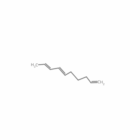 C=CCCC/C=C/C=C/C